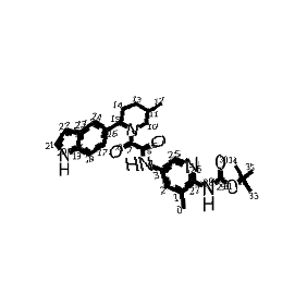 Cc1cc(NC(=O)C(=O)N2CC(C)CCC2c2ccc3[nH]ccc3c2)cnc1NC(=O)OC(C)(C)C